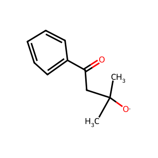 CC(C)([O])CC(=O)c1ccccc1